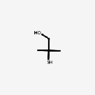 CC(C)(S)CO